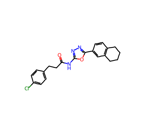 O=C(CCc1ccc(Cl)cc1)Nc1nnc(-c2ccc3c(c2)CCCC3)o1